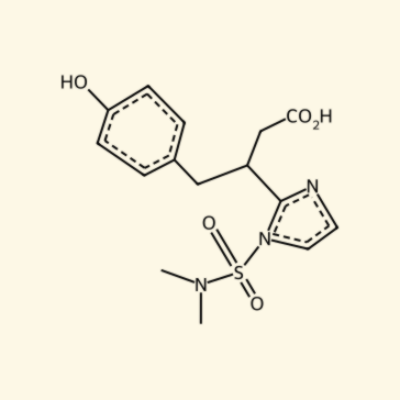 CN(C)S(=O)(=O)n1ccnc1C(CC(=O)O)Cc1ccc(O)cc1